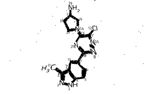 Cc1n[nH]c2ccc(-c3nnc(Cl)c(N4CCC(N)C4)n3)cc12